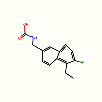 CCc1c(F)ccc2cc(CNC(=O)O)ccc12